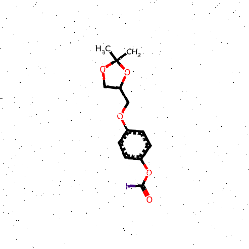 CC1(C)OCC(COc2ccc(OC(=O)I)cc2)O1